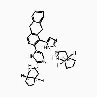 c1ccc2c(c1)Cc1ccc(-c3cnc([C@@H]4C[C@@H]5CCC[C@@H]5N4)[nH]3)c(-c3cnc([C@@H]4C[C@@H]5CCC[C@@H]5N4)[nH]3)c1C2